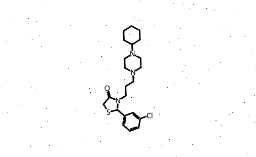 O=C1CSC(c2cccc(Cl)c2)N1CCCN1CCN(C2CCCCC2)CC1